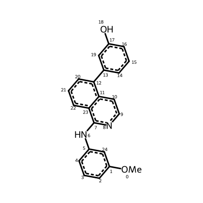 COc1cccc(Nc2nccc3c(-c4cccc(O)c4)cccc23)c1